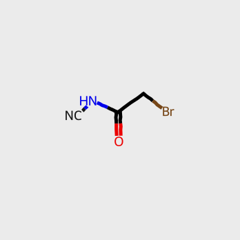 N#CNC(=O)CBr